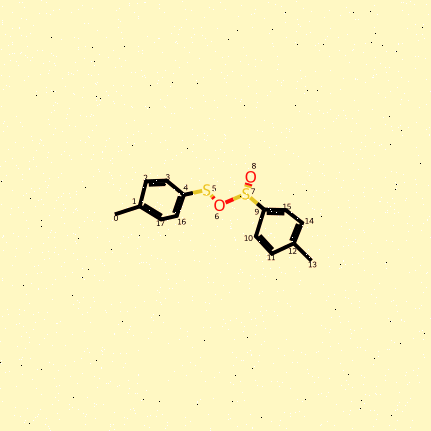 Cc1ccc(SOS(=O)c2ccc(C)cc2)cc1